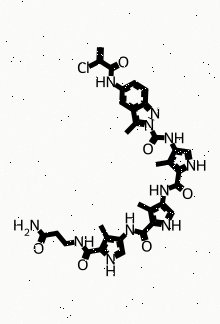 C=C(Cl)C(=O)Nc1ccc2nn(C(=O)Nc3c[nH]c(C(=O)Nc4c[nH]c(C(=O)Nc5c[nH]c(C(=O)NCCC(N)=O)c5C)c4C)c3C)c(C)c2c1